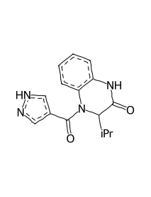 CC(C)C1C(=O)Nc2ccccc2N1C(=O)c1cn[nH]c1